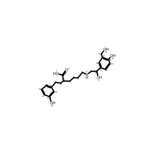 O=C(O)C(CCCCNCC(O)c1ccc(O)c(CO)c1)CCc1cccc(O)c1